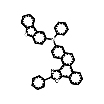 c1ccc(-c2nc3c(o2)c2ccccc2c2ccc4cc(N(c5ccccc5)c5ccc6oc7ccccc7c6c5)ccc4c23)cc1